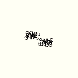 CC(C)(C(=O)NC(c1nc(-c2ccc(-c3ccc(-c4c[nH]c(C(NC(=O)C(C)(C)C(=O)N5CCOCC5)C(C)(C)C)n4)cc3)cc2)c[nH]1)C(C)(C)C)C(=O)N1CCOCC1